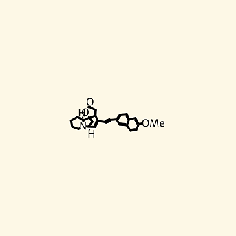 COc1ccc2cc(C#CC3=C[C@@H]4C[C@@]5(OC(=O)C=C35)[C@H]3CCCCN43)ccc2c1